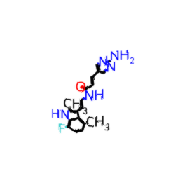 Cc1[nH]c2c(F)ccc(C)c2c1CCNC(=O)C=Cc1cnc(N)nc1